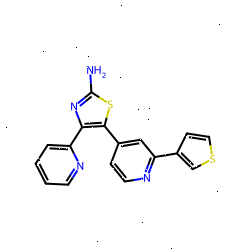 Nc1nc(-c2ccccn2)c(-c2ccnc(-c3ccsc3)c2)s1